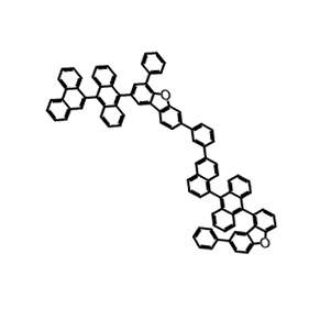 c1ccc(-c2ccc3oc4cccc(-c5c6ccccc6c(-c6cccc7cc(-c8cccc(-c9ccc%10c(c9)oc9c(-c%11ccccc%11)cc(-c%11c%12ccccc%12c(-c%12cc%13ccccc%13c%13ccccc%12%13)c%12ccccc%11%12)cc9%10)c8)ccc67)c6ccccc56)c4c3c2)cc1